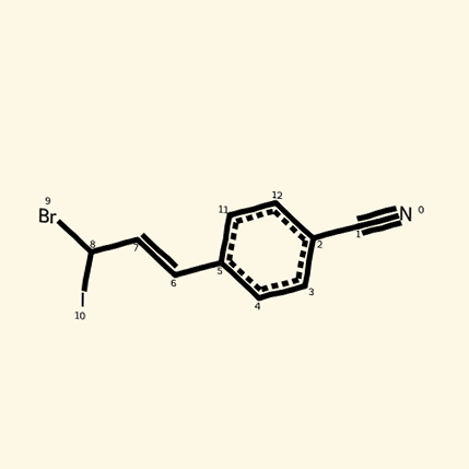 N#Cc1ccc(C=CC(Br)I)cc1